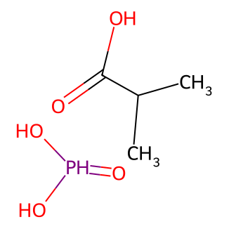 CC(C)C(=O)O.O=[PH](O)O